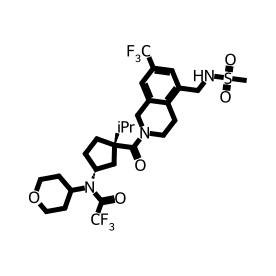 CC(C)[C@]1(C(=O)N2CCc3c(CNS(C)(=O)=O)cc(C(F)(F)F)cc3C2)CC[C@@H](N(C(=O)C(F)(F)F)C2CCOCC2)C1